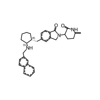 C=C1CCC(N2Cc3cc(C[C@H]4CCCC[C@@H]4NCc4ccc5ccccc5c4)ccc3C2=O)C(=O)N1